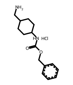 Cl.NCC1CCC(NC(=O)OCc2ccccc2)CC1